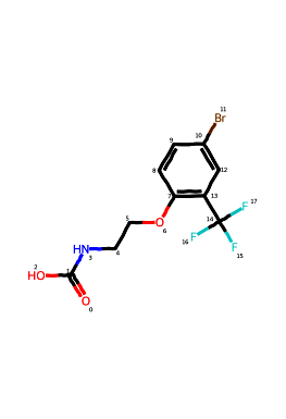 O=C(O)NCCOc1ccc(Br)cc1C(F)(F)F